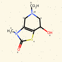 Cn1c2c(sc1=O)C(O)CN(C(=O)O)C2